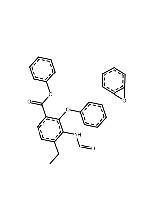 CCc1ccc(C(=O)Oc2ccccc2)c(Oc2ccccc2)c1NC=O.c1ccc2c(c1)O2